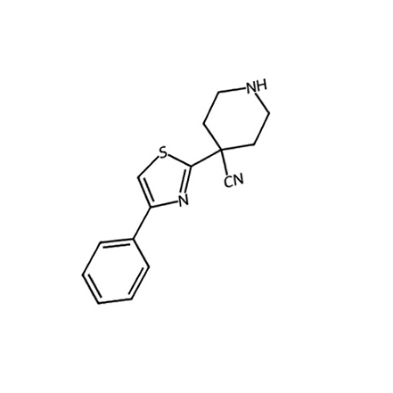 N#CC1(c2nc(-c3ccccc3)cs2)CCNCC1